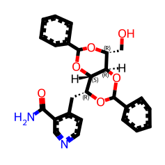 NC(=O)c1cnccc1C[C@H]1OC(c2ccccc2)O[C@H]2[C@H]1OC(c1ccccc1)O[C@@H]2CO